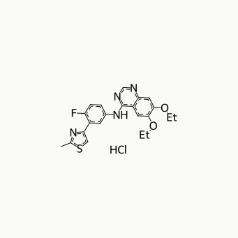 CCOc1cc2ncnc(Nc3ccc(F)c(-c4csc(C)n4)c3)c2cc1OCC.Cl